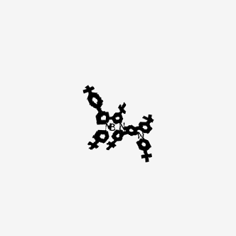 CC(C)(C)c1ccc(-c2ccc3c(c2)-c2cc(C(C)(C)C)cc4c2B(c2cc(C(C)(C)C)cc5c6cc7c(cc6n-4c25)c2cc(C(C)(C)C)ccc2n7-c2ccc(C(C)(C)C)cc2)N3c2ccc(C(C)(C)C)cc2)cc1